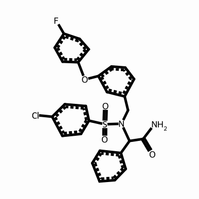 NC(=O)C(c1ccccc1)N(Cc1cccc(Oc2ccc(F)cc2)c1)S(=O)(=O)c1ccc(Cl)cc1